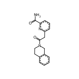 NC(=O)c1cccc(CC(=O)N2CCc3ccccc3C2)n1